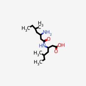 CCC(C)CC(N)CC(=O)NC(CC(=O)O)CC(C)CC